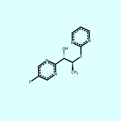 C[C@H](Sc1ncccn1)[C@@H](O)c1ncc(F)cn1